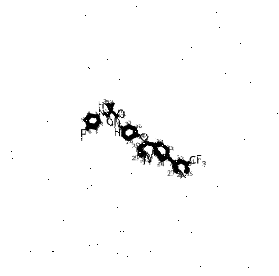 O=C(Nc1ccc(F)cc1)C1(C(=O)Nc2ccc(Oc3ccnc4cc(-c5cncc(C(F)(F)F)c5)ccc34)cc2)CC1